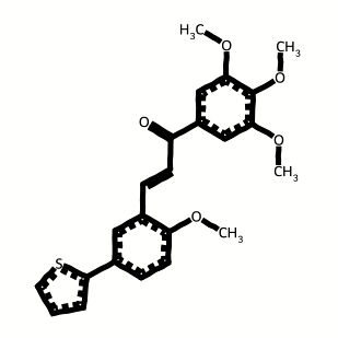 COc1ccc(-c2cccs2)cc1/C=C/C(=O)c1cc(OC)c(OC)c(OC)c1